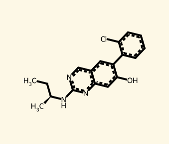 CC[C@H](C)Nc1ncc2cc(-c3ccccc3Cl)c(O)cc2n1